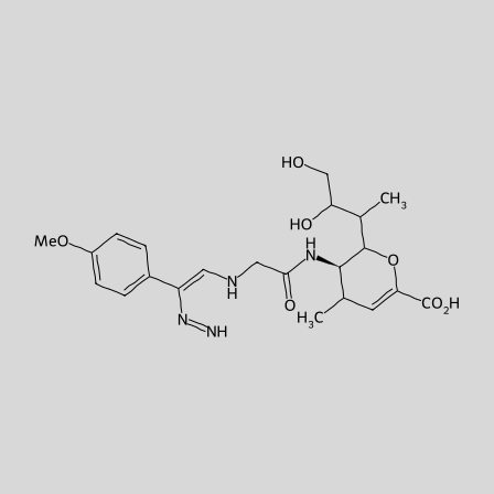 COc1ccc(/C(=C/NCC(=O)N[C@@H]2C(C)C=C(C(=O)O)OC2C(C)C(O)CO)N=N)cc1